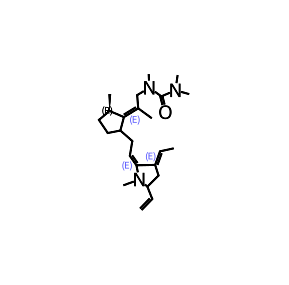 C=CC1CC(=C\C)/C(=C\CC2CC[C@@H](C)/C2=C(/C)CN(C)C(=O)N(C)C)N1C